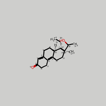 CC[C@H]1[C@@H]2CCC3=CC(=O)CCC3=C2CC[C@]1(C)C(C)O